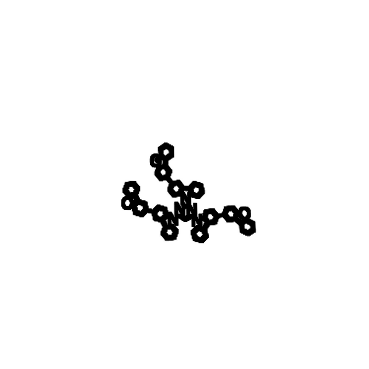 c1ccc2c(c1)oc1ccc(-c3ccc4c(c3)c3ccccc3n4-c3cc(-n4c5ccccc5c5cc(-c6ccc7oc8ccccc8c7c6)ccc54)nc(-n4c5ccccc5c5cc(-c6ccc7oc8ccccc8c7c6)ccc54)n3)cc12